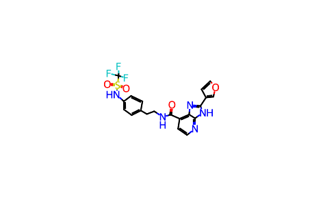 O=C(NCCc1ccc(NS(=O)(=O)C(F)(F)F)cc1)c1ccnc2[nH]c(-c3ccoc3)nc12